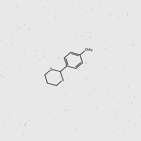 CC(=O)Oc1ccc(C2SCCCS2)cc1